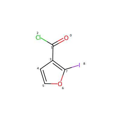 O=C(Cl)c1ccoc1I